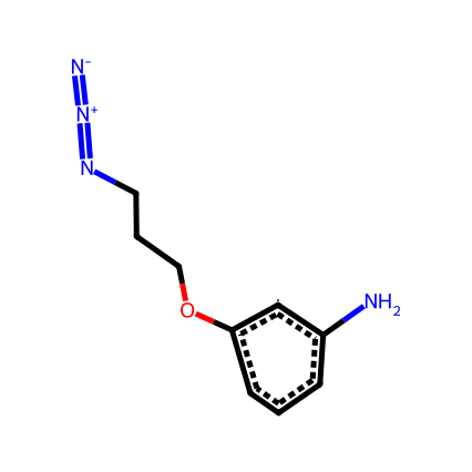 [N-]=[N+]=NCCCOc1[c]c(N)ccc1